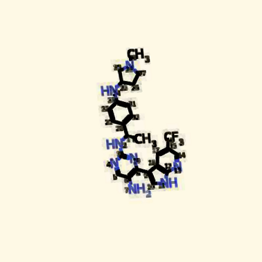 C[C@@H](Nc1ncc(N)c(-c2c[nH]c3ncc(C(F)(F)F)cc23)n1)c1ccc(NC2CCN(C)C2)cc1